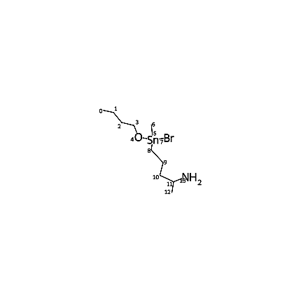 CCCC[O][Sn]([CH3])([Br])[CH2]CCC(C)N